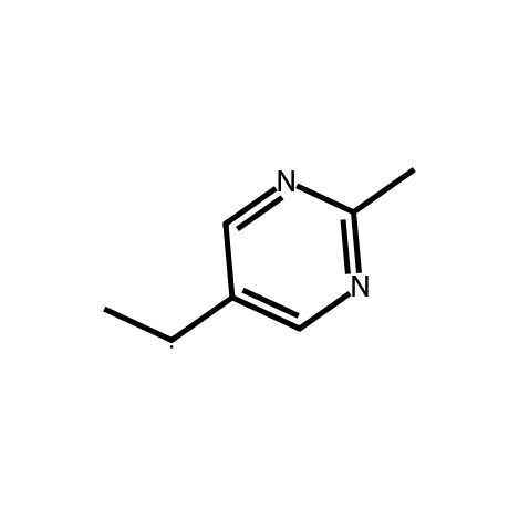 C[CH]c1cnc(C)nc1